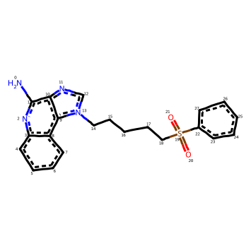 Nc1nc2ccccc2c2c1ncn2CCCCCS(=O)(=O)c1ccccc1